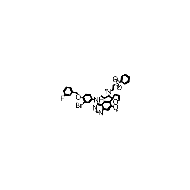 CCC(N(C)CCS(=O)(=O)c1ccccc1)C1(c2cc3c(Nc4ccc(OCc5cccc(F)c5)c(Br)c4)ncnc3cc2OC)CC=CO1